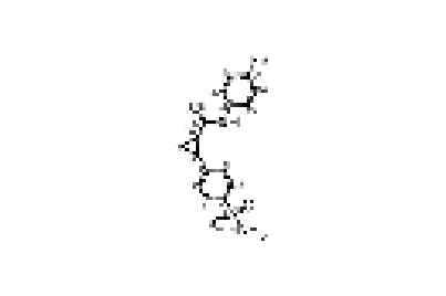 NS(=O)(=O)c1ccc(C2CC2C(=O)Nc2ccc(F)cc2)cc1